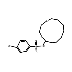 O=S(=O)(NC1CCCCCCCCCCC1)c1ccc(Br)cc1